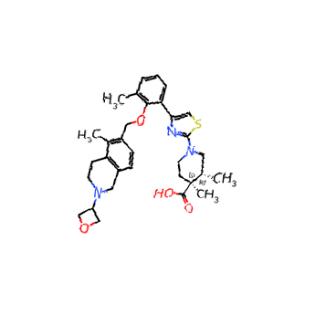 Cc1cccc(-c2csc(N3CC[C@](C)(C(=O)O)[C@@H](C)C3)n2)c1OCc1ccc2c(c1C)CCN(C1COC1)C2